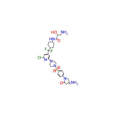 NCC(O)C(=O)NC1CCC(C(F)(F)c2cc(Cl)nc(N3CCN(S(=O)(=O)c4ccc(N5C[C@H](N)CC5=O)cc4)CC3)c2)CC1